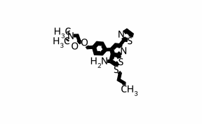 CCCCSc1sc2nc(-c3nccs3)cc(-c3ccc(COC(=O)CN(C)C)cc3)c2c1N